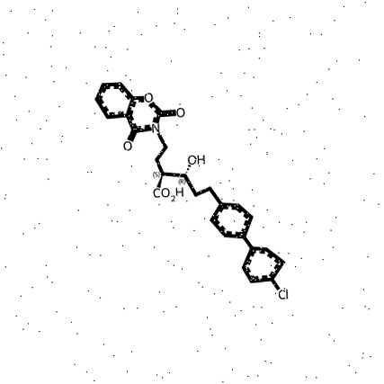 O=C(O)[C@@H](CCn1c(=O)oc2ccccc2c1=O)[C@H](O)CCc1ccc(-c2ccc(Cl)cc2)cc1